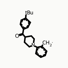 [CH2]c1ccccc1N1CCC(C(=O)c2ccc(C(C)(C)C)cc2)CC1